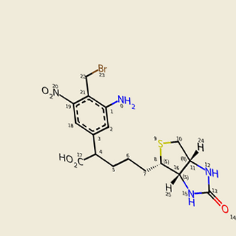 Nc1cc(C(CCC[C@@H]2SC[C@@H]3NC(=O)N[C@@H]32)C(=O)O)cc([N+](=O)[O-])c1CBr